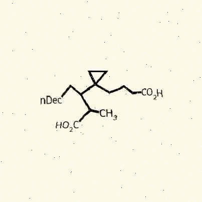 CCCCCCCCCCCC(C(C)C(=O)O)C1(CCCC(=O)O)CC1